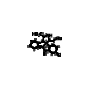 CC(C)(C)CC1NC(C(=O)O)C(c2cccnc2)C12C(=O)Nc1cc(Cl)ccc12